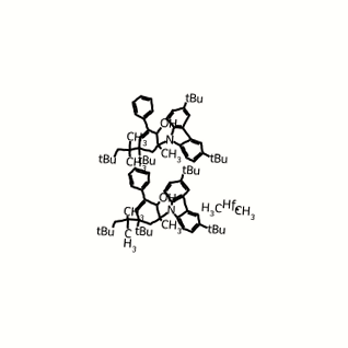 CC(C)(C)CC(C)(C)C1(C(C)(C)C)C=C(c2ccccc2)C(O)C(C)(n2c3ccc(C(C)(C)C)cc3c3cc(C(C)(C)C)ccc32)C1.CC(C)(C)CC(C)(C)C1(C(C)(C)C)C=C(c2ccccc2)C(O)C(C)(n2c3ccc(C(C)(C)C)cc3c3cc(C(C)(C)C)ccc32)C1.[CH3][Hf][CH3]